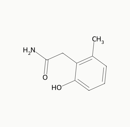 Cc1cccc(O)c1CC(N)=O